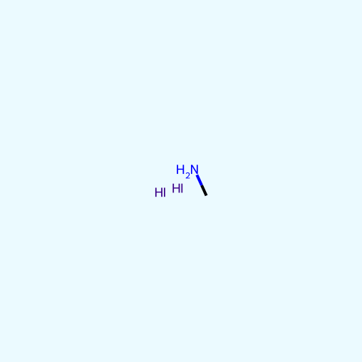 CN.I.I